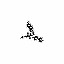 CCSCCNC(=O)C1CN(S(=O)(=O)c2ccc3cc(Cl)ccc3c2)CCN1CC1CCN(c2ccncc2)CC1